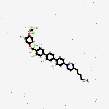 CCCCCc1ccc(-c2ccc(-c3ccc(-c4cc(F)c(C(F)(F)Oc5ccc(OC(F)(F)F)c(F)c5)c(F)c4)c(F)c3)c(F)c2)nc1